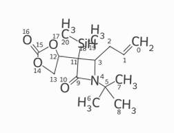 C=CCC1N(C(C)(C)C)C(=O)C1(C1COC(=O)O1)[SiH](C)C